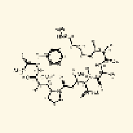 C=C(CC)[C@@H]([C@@H](CC(=O)N1CCC[C@H]1[C@H](OC)[C@@H](C)C(=O)N[C@@H](Cc1ccccc1)C(=O)OC)OC)N(C)C(=O)[C@@H](NC(=O)[C@H](C(C)C)N(C)CCOCCNC(C)C)C(C)C